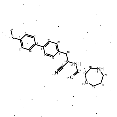 CSc1ccc(-c2ccc(CC(C#N)NC(=O)[C@@H]3CNCCCO3)cc2)cc1